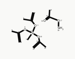 C=C(C)O[Si](C)(OC(=C)C)OC(=C)C.CC(=O)O[SiH3]